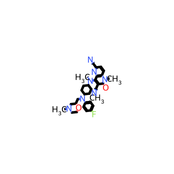 Cc1cc(F)ccc1N(CC1CN(C)CCO1)[C@H]1CC[C@H](N(C)c2c(C#N)c(=O)n(C)c3ccc(C#N)nc23)CC1